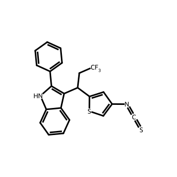 FC(F)(F)CC(c1cc(N=C=S)cs1)c1c(-c2ccccc2)[nH]c2ccccc12